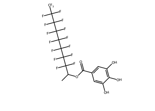 CC(OC(=O)c1cc(O)c(O)c(O)c1)C(F)(F)C(F)(F)C(F)(F)C(F)(F)C(F)(F)C(F)(F)C(F)(F)C(F)(F)F